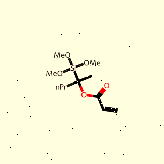 C=CC(=O)OC(C)(CCC)[Si](OC)(OC)OC